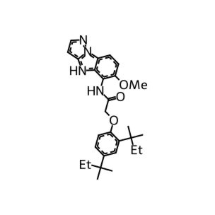 CCC(C)(C)c1ccc(OCC(=O)Nc2c(OC)ccc3c2[nH]c2ccnn23)c(C(C)(C)CC)c1